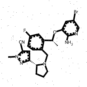 C[C@@H](Oc1cc(Br)cnc1N)c1cc(F)ccc1CN1CCC[C@@H]1c1cc(C#N)n(C)n1